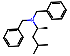 CC(C)C[C@H](C)N(Cc1ccccc1)Cc1ccccc1